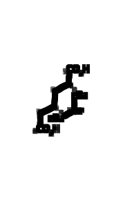 CCC[CH2][Sn][CH2]CCC.O=C(O)CCCCC(=O)O